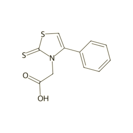 O=C(O)Cn1c(-c2ccccc2)csc1=S